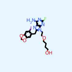 Nc1nc(F)nc2c1nc(Cc1cc3c(cc1I)OCO3)n2CCOCCCCO